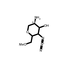 COCC1OC[C@@H](N)C(O)C1N=[N+]=[N-]